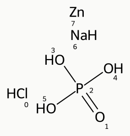 Cl.O=P(O)(O)O.[NaH].[Zn]